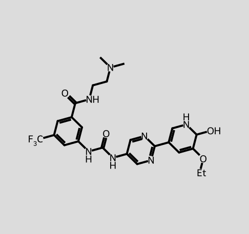 CCOC1=CC(c2ncc(NC(=O)Nc3cc(C(=O)NCCN(C)C)cc(C(F)(F)F)c3)cn2)=CNC1O